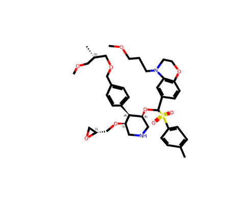 COCCCN1CCOc2ccc(C(O[C@H]3CNC[C@@H](OC[C@H]4CO4)[C@H]3c3ccc(COC[C@@H](C)COC)cc3)S(=O)(=O)c3ccc(C)cc3)cc21